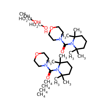 C.C.C.C.C.C.CC1(C)CCCC(C)(C)N1C(=O)N1CCOCC1.CC1(C)CCCC(C)(C)N1C(=O)N1CCOCC1.O=C(O)O.O=C(O)O